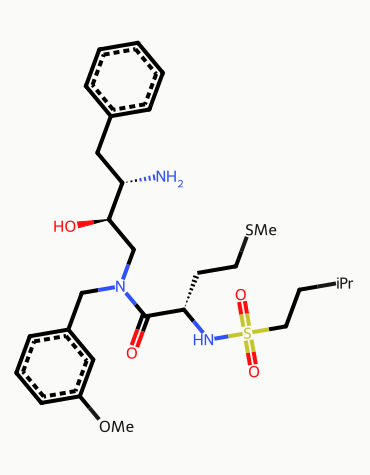 COc1cccc(CN(C[C@@H](O)[C@@H](N)Cc2ccccc2)C(=O)[C@H](CCSC)NS(=O)(=O)CCC(C)C)c1